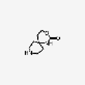 O=C1NC2(CCNCC2)CCO1